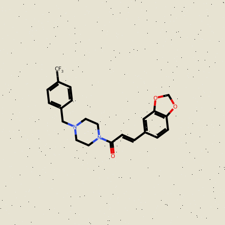 O=C(C=Cc1ccc2c(c1)OCO2)N1CCN(Cc2ccc(C(F)(F)F)cc2)CC1